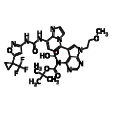 COCCn1cc(-c2ccc(NC(=O)Nc3cc(C4(C(F)(F)F)CC4)on3)c3nccn23)c2c(N(C(=O)O)C(=O)OC(C)(C)C)ncnc21